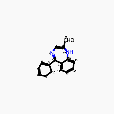 O=CC1=CN=C(C2=CC=CCC2)c2ccccc2N1